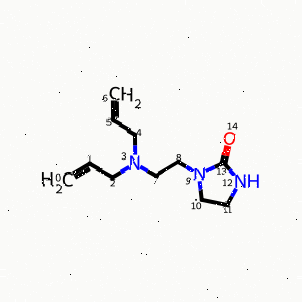 C=CCN(CC=C)CCN1[CH]CNC1=O